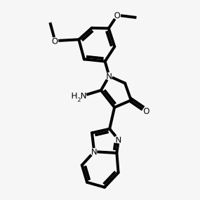 COc1cc(OC)cc(N2CC(=O)C(c3cn4ccccc4n3)=C2N)c1